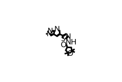 Cn1cc2cc(-c3cnc(NC(=O)C4CC(C)(C)OC(C)(C)C4)s3)cnc2n1